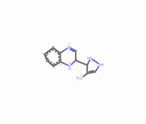 CC1=CNNC1C1C=Nc2ccccc2N1